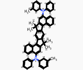 CC1=CC=CC(N(C2=CC=CCC2)c2cc3c(c4ccccc24)-c2cc4c(cc2C3(C)C)-c2c(cc(N(c3ccccc3)C3C=CC=C(C)C3)c3ccccc23)C4(C)C)C1